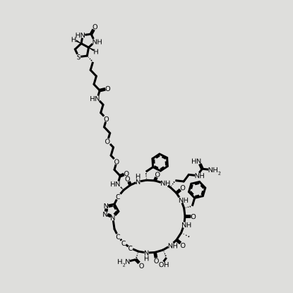 C[C@H]1NC(=O)[C@@H](Cc2ccccc2)NC(=O)[C@@H](CCCNC(=N)N)NC(=O)[C@@H](Cc2ccccc2)NC(=O)[C@@H](NC(=O)COCCOCCOCCNC(=O)CCCC[C@@H]2SC[C@@H]3NC(=O)N[C@@H]32)Cc2cn(nn2)CCCC[C@@H](C(N)=O)NC(=O)[C@@H](CO)NC1=O